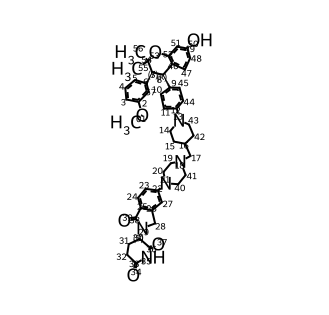 COc1cccc([C@@H]2[C@H](c3ccc(N4CCC(CN5CCN(c6ccc7c(c6)CN([C@H]6CCC(=O)NC6=O)C7=O)CC5)CC4)cc3)c3ccc(O)cc3OC2(C)C)c1